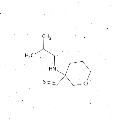 CC(C)CNC1(C=S)CCCOC1